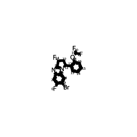 Fc1cc2nc3n(c2cc1Br)C(c1ccccc1OC(F)F)C[C@H]3F